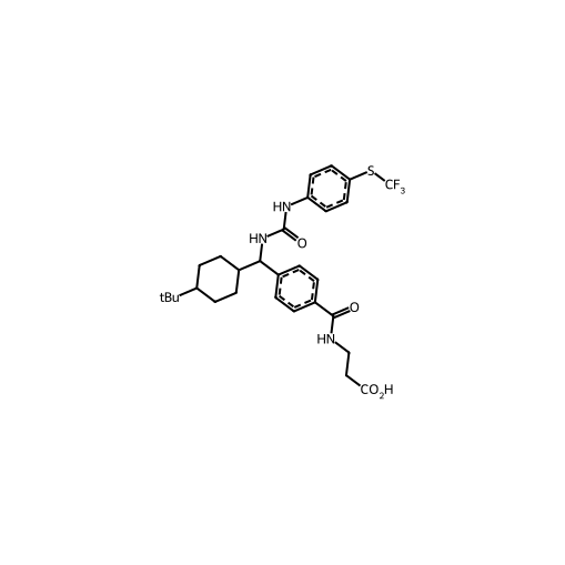 CC(C)(C)C1CCC(C(NC(=O)Nc2ccc(SC(F)(F)F)cc2)c2ccc(C(=O)NCCC(=O)O)cc2)CC1